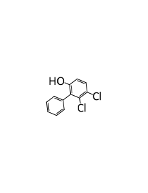 Oc1ccc(Cl)c(Cl)c1-c1ccccc1